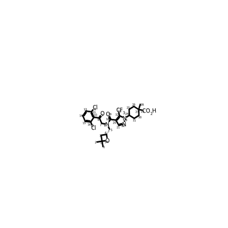 CC1(C)C[C@H](CN(CC(=O)c2c(Cl)cccc2Cl)C(=O)c2cnn(C3CCC(C)(C(=O)O)CC3)c2C(F)(F)F)O1